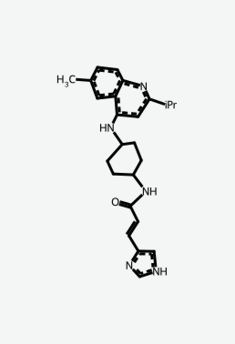 Cc1ccc2nc(C(C)C)cc(NC3CCC(NC(=O)/C=C/c4c[nH]cn4)CC3)c2c1